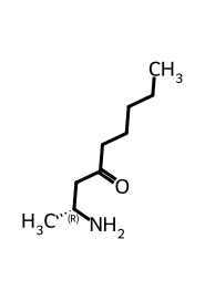 CCCCCC(=O)C[C@@H](C)N